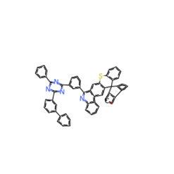 c1ccc(-c2cccc(-c3nc(-c4ccccc4)nc(-c4cccc(-c5nc6ccccc6c6cc7c(cc56)Sc5ccccc5C75c6ccccc6-c6ccccc65)c4)n3)c2)cc1